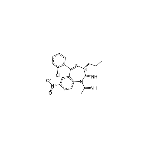 CCC[C@@H]1N=C(c2ccccc2Cl)c2cc([N+](=O)[O-])ccc2N(C(C)=N)C1=N